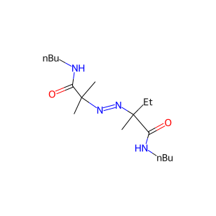 CCCCNC(=O)C(C)(C)N=NC(C)(CC)C(=O)NCCCC